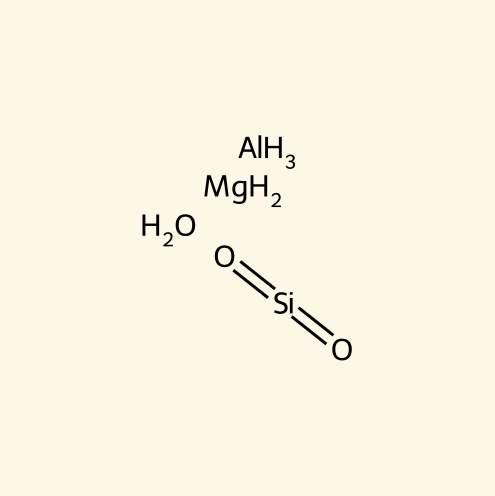 O.O=[Si]=O.[AlH3].[MgH2]